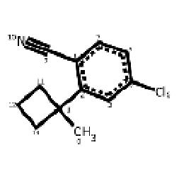 CC1(c2cc(Cl)ccc2C#N)CCC1